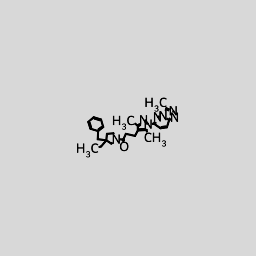 CCC1(Cc2ccccc2)CCN(C(=O)CCc2c(C)nn(-c3ccc4nnc(C)n4n3)c2C)C1